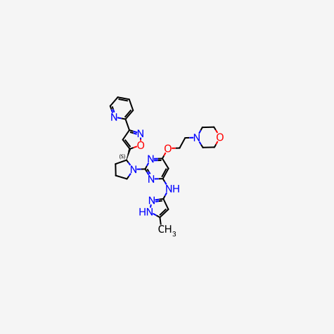 Cc1cc(Nc2cc(OCCN3CCOCC3)nc(N3CCC[C@H]3c3cc(-c4ccccn4)no3)n2)n[nH]1